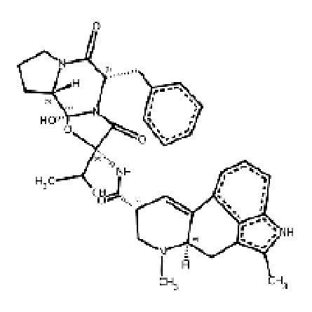 Cc1[nH]c2cccc3c2c1C[C@@H]1C3=C[C@@H](C(=O)N[C@]2(C(C)C)O[C@@]3(O)[C@@H]4CCCN4C(=O)[C@H](Cc4ccccc4)N3C2=O)CN1C